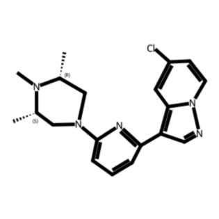 C[C@@H]1CN(c2cccc(-c3cnn4ccc(Cl)cc34)n2)C[C@H](C)N1C